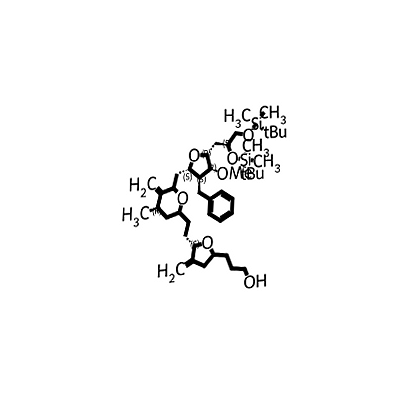 C=C1C(C[C@@H]2O[C@H](C[C@@H](CO[Si](C)(C)C(C)(C)C)O[Si](C)(C)C(C)(C)C)[C@H](OC)[C@H]2Cc2ccccc2)OC(CC[C@@H]2OC(CCCO)CC2=C)C[C@H]1C